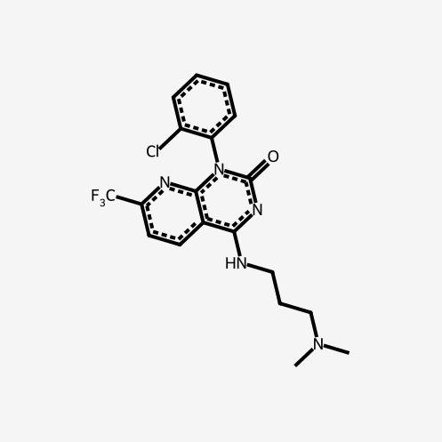 CN(C)CCCNc1nc(=O)n(-c2ccccc2Cl)c2nc(C(F)(F)F)ccc12